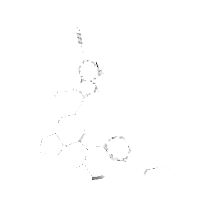 CC(=O)N[C@@H](C(=O)N1CCC[C@H]1CCc1cc2ccc(C#N)cc2n1C)c1ccc(OC(C)=O)cc1